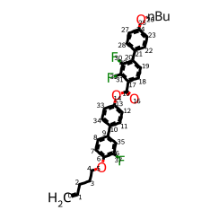 C=CCCCOc1ccc(-c2ccc(OC(=O)c3ccc(-c4ccc(OCCCC)cc4)c(F)c3F)cc2)cc1F